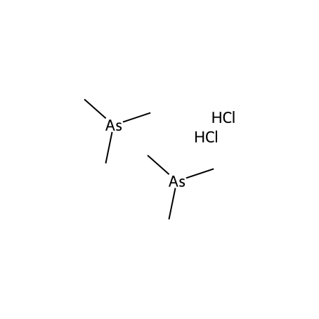 C[As](C)C.C[As](C)C.Cl.Cl